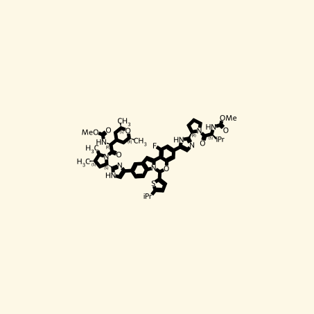 COC(=O)N[C@H](C(=O)N1CCC[C@@H]1c1ncc(-c2cc(F)c3c(c2)OC(c2ccc(C(C)C)s2)n2c-3cc3cc(-c4c[nH]c([C@@H]5C[C@H](C)C(C)N5C(=O)[C@H](NC(=O)OC)C5C[C@@H](C)O[C@@H](C)C5)n4)ccc32)[nH]1)C(C)C